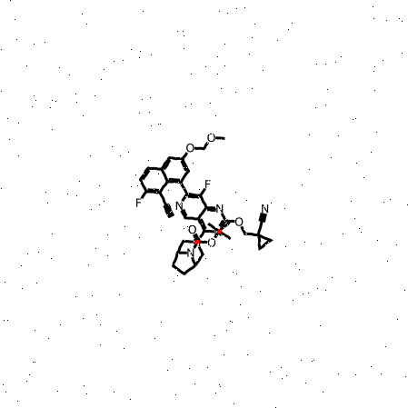 C#Cc1c(F)ccc2cc(OCOC)cc(-c3ncc4c(N5CC6CCC(C5)N6C(=O)OC(C)(C)C)nc(OCC5(C#N)CC5)nc4c3F)c12